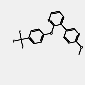 COc1ccc(-c2cccnc2Oc2ccc(C(F)(F)F)cc2)cn1